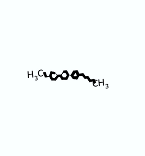 CCCCCCc1ccc([C@H]2CC[C@H]([C@H]3CC[C@H](CCC)CC3)CC2)cc1